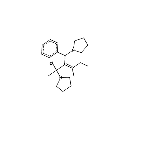 CCC(C)=C(C(c1ccccc1)N1CCCC1)C(C)(Cl)N1CCCC1